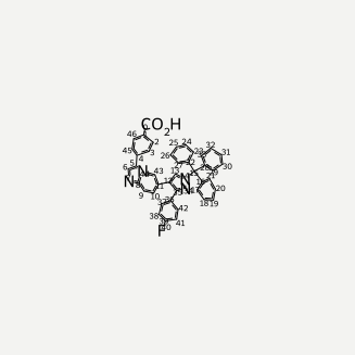 O=C(O)c1ccc(-c2cnc3ccc(-c4cn(C(c5ccccc5)(c5ccccc5)c5ccccc5)nc4-c4ccc(F)cc4)cn23)cc1